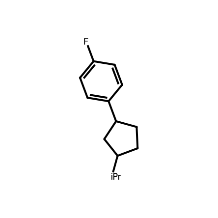 CC(C)C1CCC(c2ccc(F)cc2)C1